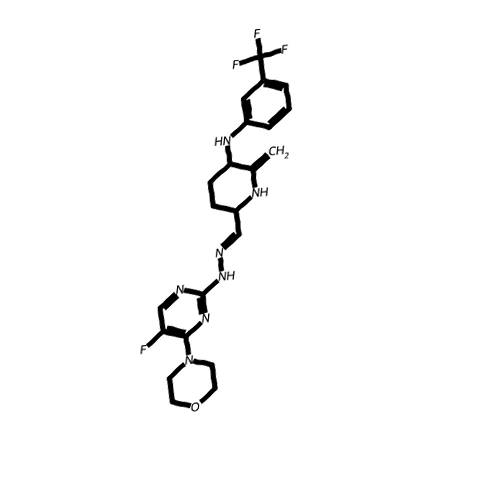 C=C1NC(/C=N/Nc2ncc(F)c(N3CCOCC3)n2)CCC1Nc1cccc(C(F)(F)F)c1